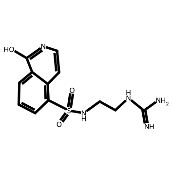 N=C(N)NCCNS(=O)(=O)c1cccc2c(O)nccc12